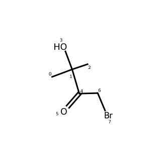 CC(C)(O)C(=O)CBr